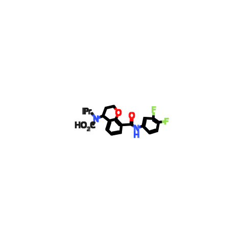 CC(C)N(C(=O)O)C1CCOc2c(C(=O)Nc3ccc(F)c(F)c3)cccc21